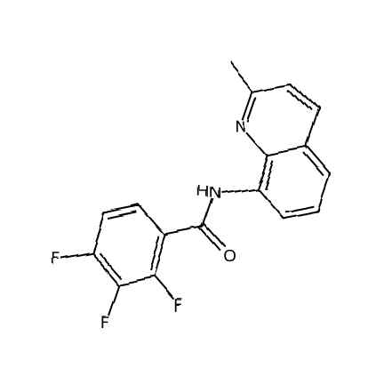 Cc1ccc2cccc(NC(=O)c3ccc(F)c(F)c3F)c2n1